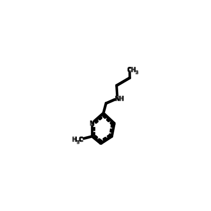 CCCNCc1cccc(C)n1